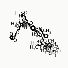 CC[C@H](C)[C@@H]([C@@H](CC(=O)N1CCC[C@H]1[C@H](OC)[C@@H](C)C(=O)NS(=O)(=O)c1ccc(NC(=O)[C@H](CCCNC(N)=O)NC(=O)[C@@H](NC(=O)CCOCCN2C(=O)C=CC2=O)C(C)C)cc1)OC)N(C)C(=O)[C@@H](NC(=O)[C@H](C(C)C)N(C)C)C(C)C